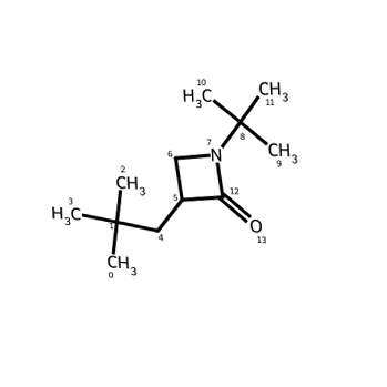 CC(C)(C)CC1CN(C(C)(C)C)C1=O